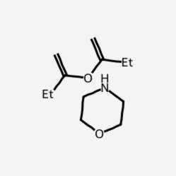 C1COCCN1.C=C(CC)OC(=C)CC